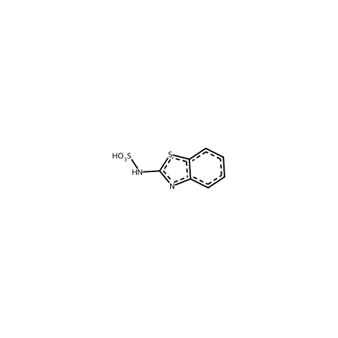 O=S(=O)(O)Nc1nc2ccccc2s1